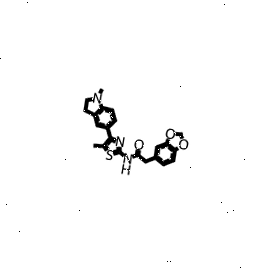 Cc1sc(NC(=O)Cc2ccc3c(c2)OCO3)nc1-c1ccc2c(c1)CCN2C